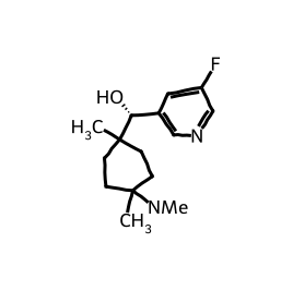 CNC1(C)CCC(C)([C@H](O)c2cncc(F)c2)CC1